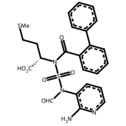 CSCC[C@@H](C(=O)O)N(C(=O)c1ccccc1-c1ccccc1)S(=O)(=O)N(C=O)c1cccnc1N